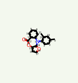 Cc1ccc(N2c3ccccc3C(=O)Oc3ccoc32)c(C)c1